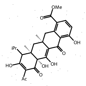 COC(=O)c1ccc(O)c2c1C[C@]1(C)C[C@]3(C)C(C(C)C)C(O)=C(C(C)=O)C(=O)[C@]3(O)C(O)=C1C2=O